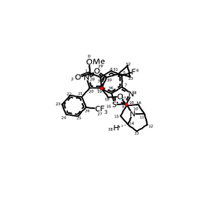 COC(=O)c1cc(F)c2nc(N3C4CC[C@H]3CC(OCc3c(-c5ccccc5C(F)(F)F)noc3C3CC3)C4)sc2c1